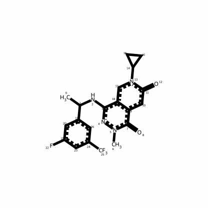 CC(Nc1nn(C)c(=O)c2cc(=O)n(C3CC3)cc12)c1cc(F)cc(C(F)(F)F)c1